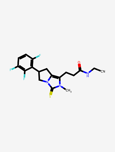 Cn1c(CCC(=O)NCC#N)c2n(c1=S)CC(c1c(F)ccc(F)c1F)C2